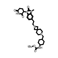 Cn1c(=O)n(C2CCC(=O)NC2=O)c2ccc(CCN3CC4(CCN(CC5CCC(NC(=O)OC(C)(C)C)CC5)CC4)C3)cc21